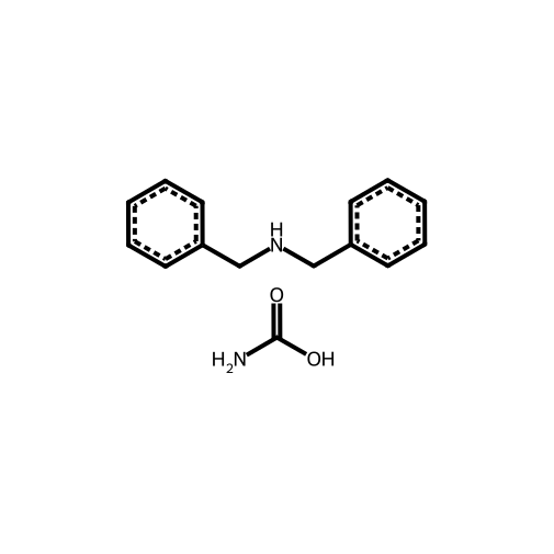 NC(=O)O.c1ccc(CNCc2ccccc2)cc1